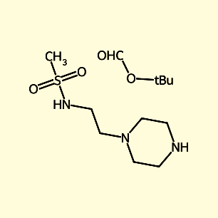 CC(C)(C)OC=O.CS(=O)(=O)NCCN1CCNCC1